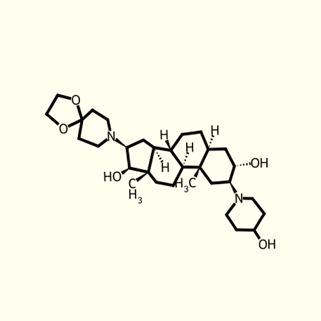 C[C@]12C[C@H](N3CCC(O)CC3)[C@@H](O)C[C@@H]1CC[C@@H]1[C@@H]2CC[C@]2(C)[C@@H](O)[C@@H](N3CCC4(CC3)OCCO4)C[C@@H]12